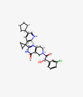 O=C([C@H](O)c1cccc(Cl)c1)N1CCc2nc(C3(c4cncc(C5CCCC5)c4)CC3)[nH]c(=O)c2C1